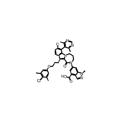 Cc1cc(OCCCc2c3n(c4c(-c5c(C)ncnc5C)c(Cl)ccc24)CCCN(c2cc(C(=O)O)c4cnn(C)c4c2)C3=O)cc(C)c1Cl